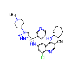 CC(C)(C)N1CCC(N2C=C([C@@H](Nc3cc(Cl)c4ncc(C#N)c(NC5CCCCCC5)c4c3)c3cccnc3)NN2)CC1